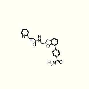 NC(=O)c1ccc(-c2cccc3c2OC(CNC(=O)/C=C/c2ccccn2)C3)cc1